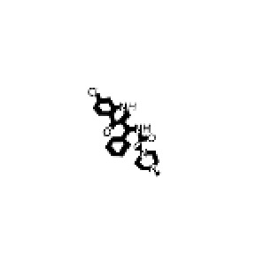 CN1CCN(OC(=O)NC(c2ccccc2)c2c[nH]c3cc(Cl)ccc3c2=O)CC1